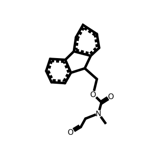 CN(CC=O)C(=O)OCC1c2ccccc2-c2ccccc21